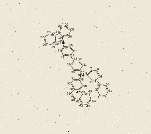 c1ccc(-c2cccc(N(c3ccc(-c4ccc(-n5c6ccccc6c6ccccc65)cc4)cc3)c3ccc4ccc5ccccc5c4c3)c2)cc1